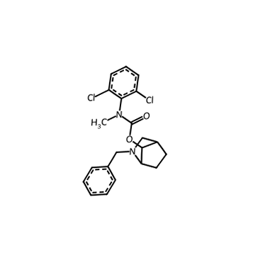 CN(C(=O)OC1C2CCC1N(Cc1ccccc1)C2)c1c(Cl)cccc1Cl